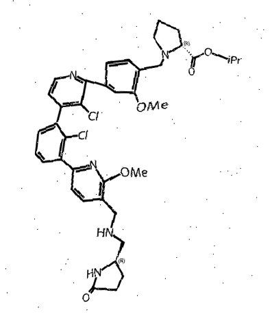 COc1cc(-c2nccc(-c3cccc(-c4ccc(CNC[C@H]5CCC(=O)N5)c(OC)n4)c3Cl)c2Cl)ccc1CN1CCC[C@@H]1C(=O)OC(C)C